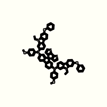 CCn1c2cc(Oc3ccccc3)ccc2c2ccc(N(c3ccc(OC)cc3)c3ccc4c(c3)C3(c5cc(N(c6ccc(OC)cc6)c6ccc7c8ccc(Oc9ccccc9)cc8n(CC)c7c6)ccc5-4)c4ccsc4-c4sccc43)cc21